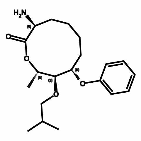 CC(C)CO[C@H]1[C@H](C)OC(=O)[C@@H](N)CCCC[C@@H]1Oc1ccccc1